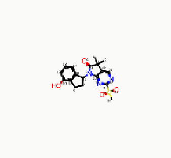 CC1(C)C(=O)N(C2CCc3c(O)cccc32)c2nc(S(C)(=O)=O)ncc21